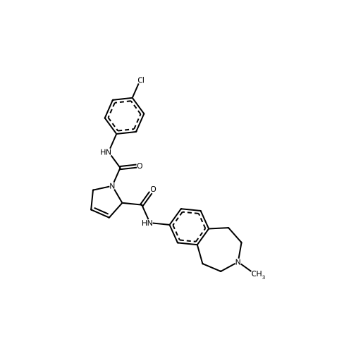 CN1CCc2ccc(NC(=O)C3C=CCN3C(=O)Nc3ccc(Cl)cc3)cc2CC1